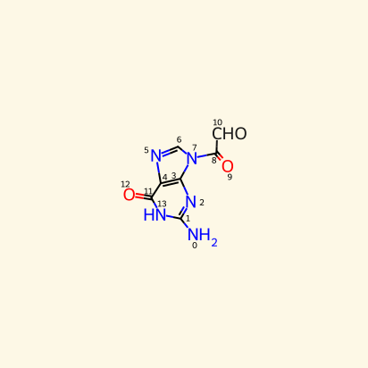 Nc1nc2c(ncn2C(=O)C=O)c(=O)[nH]1